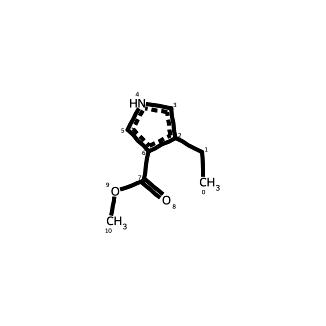 CCc1c[nH]cc1C(=O)OC